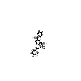 O=c1[nH]c2cc(Nc3ccccc3)ccc2n1CCc1ccccn1